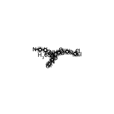 COC(=O)[C@H](Cc1ccc(-c2ccc(C#N)cc2)cc1)NC(=O)C1Cc2cc3c(cc2CN1S(=O)(=O)c1ccc(N2CCOCC2)nc1)O[C@@H](c1ccc(OCc2ccc(Cl)c(Cl)c2)cc1)CO3